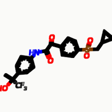 CC(O)(c1ccc(NC(=O)C(=O)c2ccc(S(=O)(=O)CC3CC3)cc2)cc1)C(F)(F)F